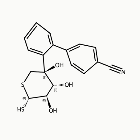 N#Cc1ccc(-c2ccccc2[C@@]2(O)CS[C@@H](S)[C@H](O)[C@H]2O)cc1